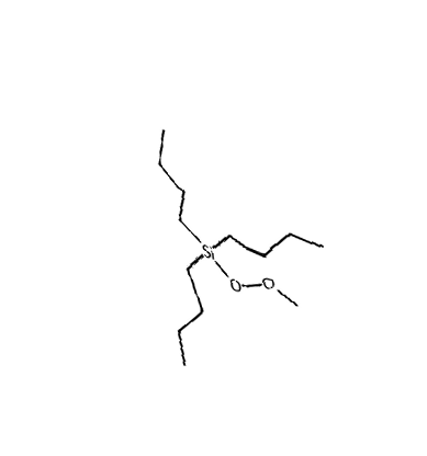 CCCC[Si](CCCC)(CCCC)OOC